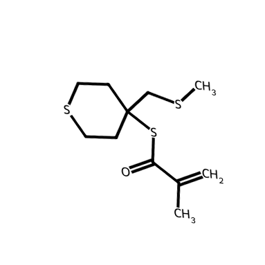 C=C(C)C(=O)SC1(CSC)CCSCC1